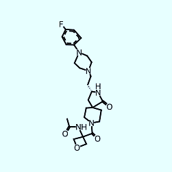 CC(=O)NC1(C(=O)N2CCC3(CC2)C[C@H](CCN2CCN(c4ccc(F)cc4)CC2)NC3=O)COC1